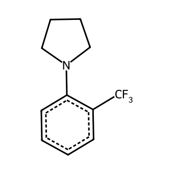 FC(F)(F)c1ccccc1N1CCCC1